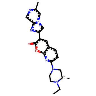 CCN1CCN(c2ccc3cc(-c4cn5cc(C)ncc5n4)c(=O)oc3n2)C[C@@H]1C